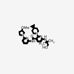 COC1CCN(c2cccc(NC(=O)c3ccc(NC(C)(C)CO)nc3N3CCC4(CC3)CC4)n2)C1